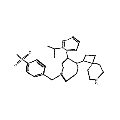 CC(C)c1ccccc1C1CN(Cc2ccc(S(C)(=O)=O)cc2)CCN1C1CCC12CCNCC2